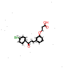 O=C(O)CCOc1cccc(C=CC(=O)c2ccc(Br)cc2)c1